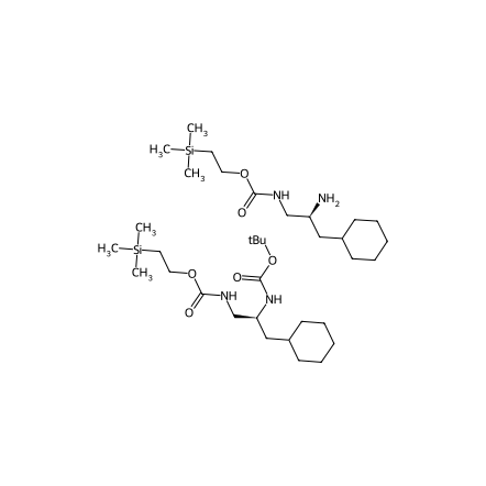 CC(C)(C)OC(=O)N[C@H](CNC(=O)OCC[Si](C)(C)C)CC1CCCCC1.C[Si](C)(C)CCOC(=O)NC[C@@H](N)CC1CCCCC1